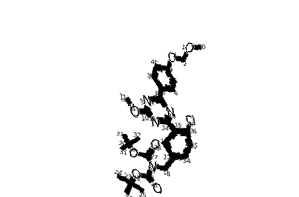 COCOc1ccc(-c2nc(OC)nc(-c3cc(CN(C(=O)OC(C)(C)C)C(=O)OC(C)(C)C)ccc3Cl)n2)cc1